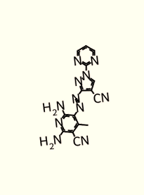 Cc1c(C#N)c(N)nc(N)c1/N=N/c1nn(-c2ncccn2)cc1C#N